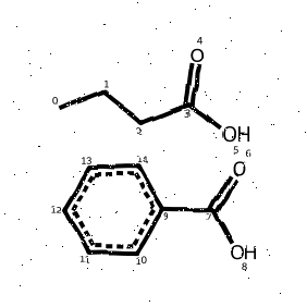 CCCC(=O)O.O=C(O)c1ccccc1